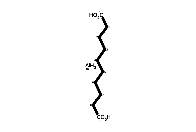 O=C(O)CCCCCCCCC(=O)O.[AlH3]